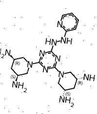 N[C@@H]1C[C@H](N)CN(c2nc(NNc3ccccn3)nc(N3C[C@H](N)C[C@H](N)C3)n2)C1